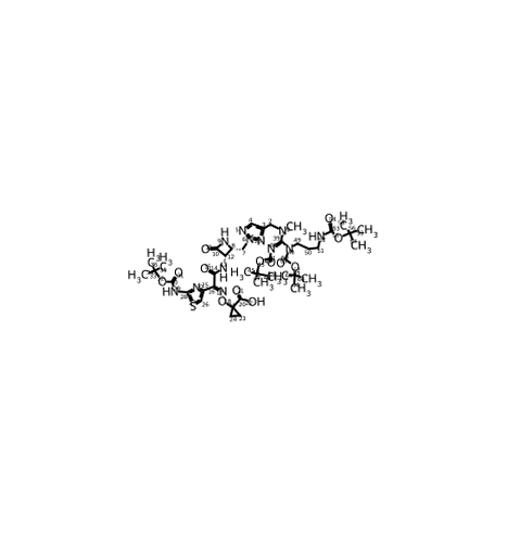 CN(Cc1cnn(C[C@H]2NC(=O)[C@H]2NC(=O)C(=NOC2(C(=O)O)CC2)c2csc(NC(=O)OC(C)(C)C)n2)n1)/C(=N/C(=O)OC(C)(C)C)N(CCCNC(=O)OC(C)(C)C)C(=O)OC(C)(C)C